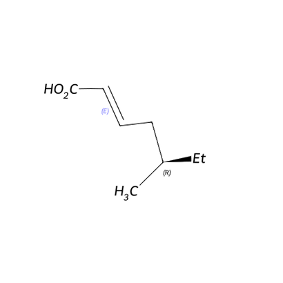 CC[C@@H](C)C/C=C/C(=O)O